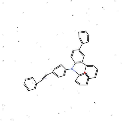 C(=C\c1ccc(N(c2ccccc2)c2ccc(-c3ccccc3)cc2-c2ccccc2)cc1)/c1ccccc1